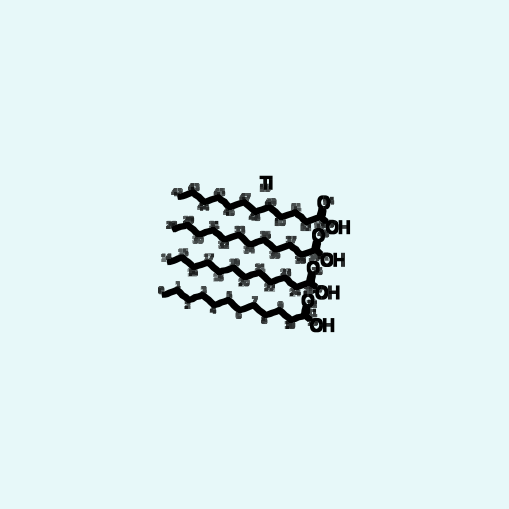 CCCCCCCCCCCC(=O)O.CCCCCCCCCCCC(=O)O.CCCCCCCCCCCC(=O)O.CCCCCCCCCCCC(=O)O.[Ti]